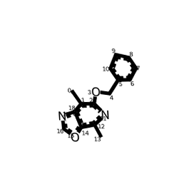 [CH2]c1c(OCc2ccccc2)nc(C)c2ocnc12